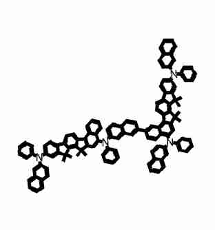 CC1(C)c2cc(N(c3ccccc3)c3ccc4ccccc4c3)ccc2-c2ccc3c(c21)C(C)(C)c1cc(N(c2ccccc2)c2ccc4ccc(-c5ccc6c(N(c7ccccc7)c7ccc8ccccc8c7)cc7c(c6c5)-c5ccc6c(c5C7(C)C)C(C)(C)c5cc(N(c7ccccc7)c7ccc8ccccc8c7)ccc5-6)cc4c2)c2ccccc2c1-3